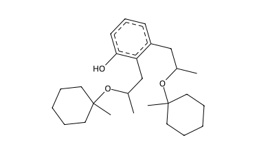 CC(Cc1cccc(O)c1CC(C)OC1(C)CCCCC1)OC1(C)CCCCC1